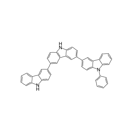 c1ccc(-n2c3ccccc3c3cc(-c4ccc5[nH]c6ccc(-c7ccc8[nH]c9ccccc9c8c7)cc6c5c4)ccc32)cc1